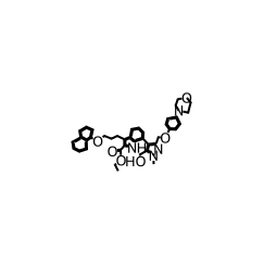 CCOC(=O)c1[nH]c2c(-c3c(COc4ccc(N5CCOCC5)cc4)nn(C)c3CO)cccc2c1CCCOc1cccc2ccccc12